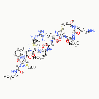 CC(C)(C)SC[C@H](NC(=O)[C@H](Cc1ccccc1)NC(=O)[C@H](CSC(C)(C)C)NC(=O)[C@H](CC(=O)O)NC(=O)CNC(=O)[C@H](CCCNC(=N)N)NC(=O)[C@@H]1CSCCC(=O)N[C@@H](CCCCN)C(=O)N[C@@H](CC(=O)O)C(=O)N1)C(=O)NCC(=O)NCC(=O)O